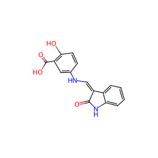 O=C1Nc2ccccc2C1=CNc1ccc(O)c(C(=O)O)c1